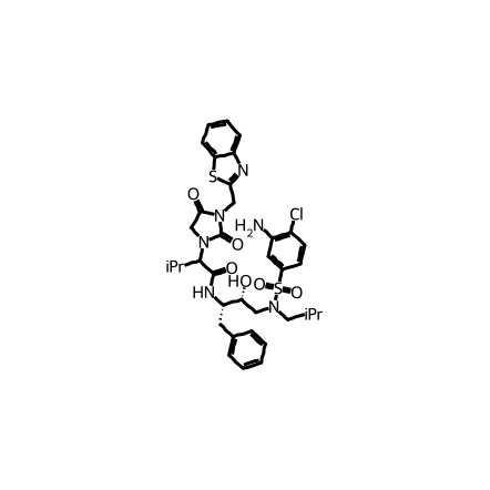 CC(C)CN(C[C@@H](O)[C@H](Cc1ccccc1)NC(=O)C(C(C)C)N1CC(=O)N(Cc2nc3ccccc3s2)C1=O)S(=O)(=O)c1ccc(Cl)c(N)c1